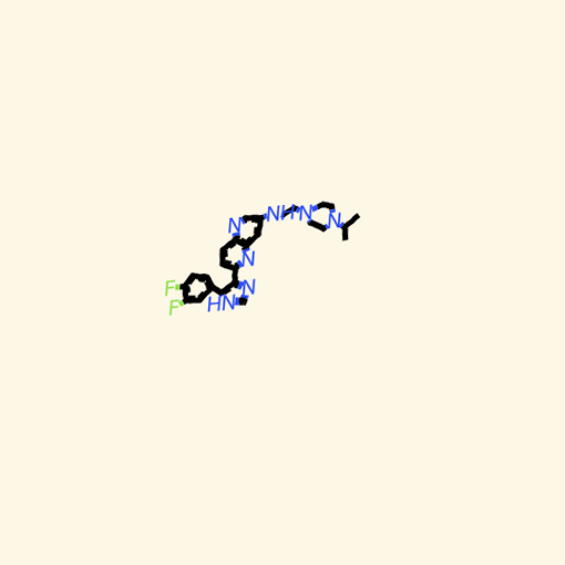 CC(C)N1CCN(CCNc2cnc3ccc(-c4nc[nH]c4-c4ccc(F)c(F)c4)nc3c2)CC1